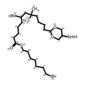 CCCCCCC1COC(CCCCC(C)(C)CC(CCCC)CCCCC(=O)OCCCCCCCC(C)(C)C)OC1